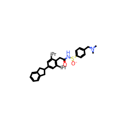 CC(C)c1cc(C2Cc3ccccc3C2)cc(C(C)C)c1CC(=O)N[S+]([O-])c1ccc(CN(C)C)cc1